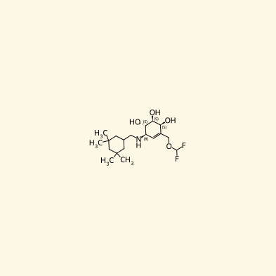 CC1(C)CC(CN[C@@H]2C=C(COC(F)F)[C@H](O)[C@H](O)[C@H]2O)CC(C)(C)C1